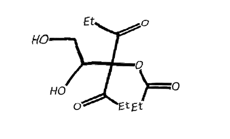 CCC(=O)OC(C(=O)CC)(C(=O)CC)C(O)CO